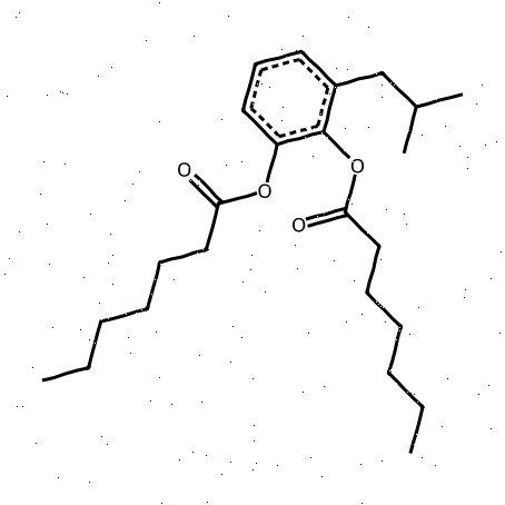 CCCCCCC(=O)Oc1cccc(CC(C)C)c1OC(=O)CCCCCC